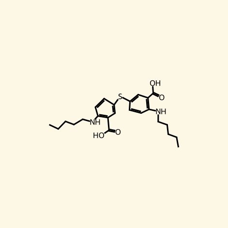 CCCCCNc1ccc(Sc2ccc(NCCCCC)c(C(=O)O)c2)cc1C(=O)O